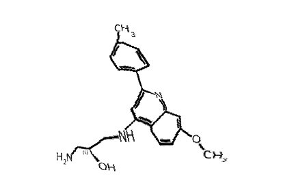 COc1ccc2c(NC[C@@H](O)CN)cc(-c3ccc(C)cc3)nc2c1